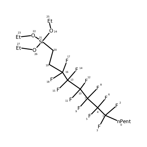 CCCCCC(F)(F)C(F)(F)C(F)(F)C(F)(F)C(F)(F)C(F)(F)CC[Si](OCC)(OCC)OCC